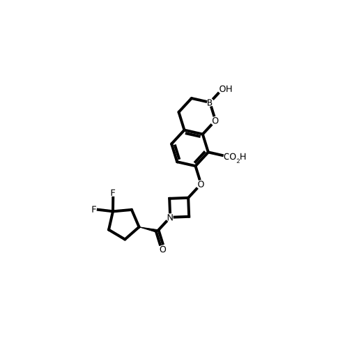 O=C(O)c1c(OC2CN(C(=O)[C@H]3CCC(F)(F)C3)C2)ccc2c1OB(O)CC2